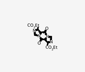 CCOC(=O)c1ncn2c(=O)c3c(C(=O)OCC)ncn3c(=O)c12